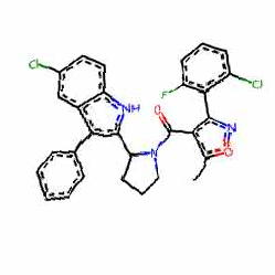 Cc1onc(-c2c(F)cccc2Cl)c1C(=O)N1CCCC1c1[nH]c2ccc(Cl)cc2c1-c1ccccc1